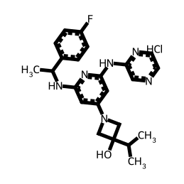 CC(Nc1cc(N2CC(O)(C(C)C)C2)cc(Nc2cnccn2)n1)c1ccc(F)cc1.Cl